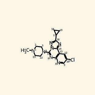 CN1CCN(c2nc3ncc(Cl)cc3c3nc(C4CC4)nn23)CC1